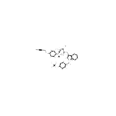 CC#CCOc1ccc(S(=O)(=O)N[C@H](Cc2cn(Cc3ccc(OC(F)(F)F)cc3)c3ccccc23)C(=O)O)cc1